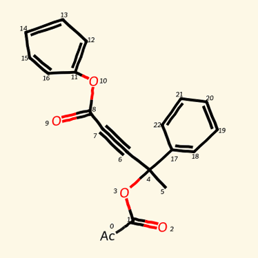 CC(=O)C(=O)OC(C)(C#CC(=O)Oc1ccccc1)c1ccccc1